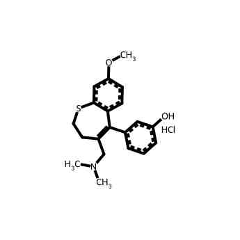 COc1ccc2c(c1)SCCC(CN(C)C)=C2c1cccc(O)c1.Cl